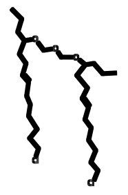 CCCC(CCC=CCCCCCCCl)OCOCOC(CCC)CCC=CCCCCCCCl